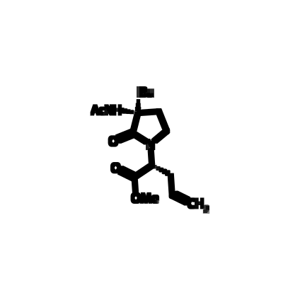 C=CC[C@H](C(=O)OC)N1CC[C@](NC(C)=O)([C@@H](C)CC)C1=O